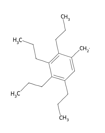 [CH2]c1cc(CCC)c(CCC)c(CCC)c1CCC